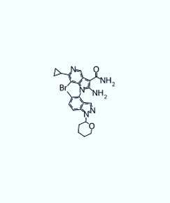 Cc1ccc2c(cnn2C2CCCCO2)c1-n1c(N)c(C(N)=O)c2cnc(C3CC3)c(Br)c21